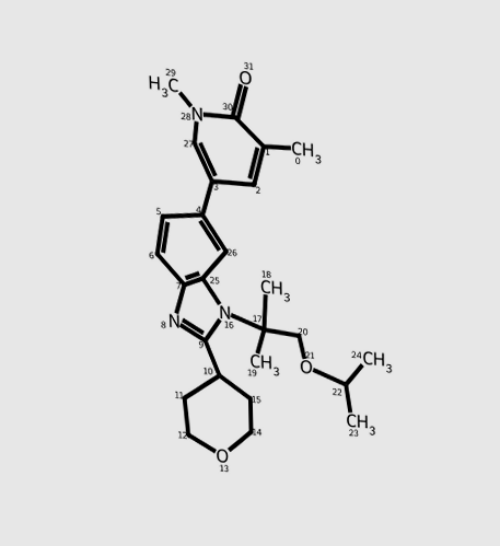 Cc1cc(-c2ccc3nc(C4CCOCC4)n(C(C)(C)COC(C)C)c3c2)cn(C)c1=O